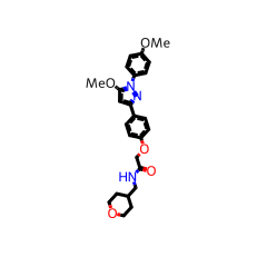 COc1ccc(-n2nc(-c3ccc(OCC(=O)NCC4CCOCC4)cc3)cc2OC)cc1